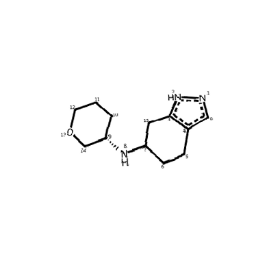 c1n[nH]c2c1CCC(N[C@H]1CCCOC1)C2